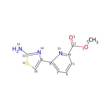 COC(=O)c1cccc(-c2csc(N)n2)n1